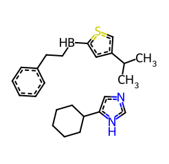 CC(C)c1csc(BCCc2ccccc2)c1.c1ncc(C2CCCCC2)[nH]1